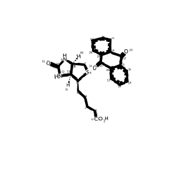 O=C(O)CCCC[C@@H]1SC[C@@H]2NC(=O)N[C@@H]21.O=C1c2ccccc2C(=O)c2ccccc21